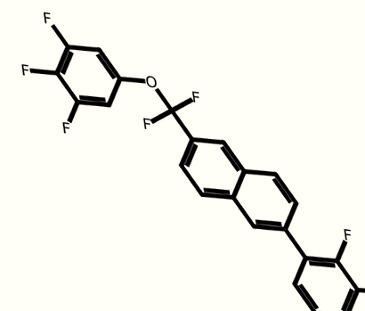 CCCc1ccc(-c2ccc3cc(C(F)(F)Oc4cc(F)c(F)c(F)c4)ccc3c2)c(F)c1F